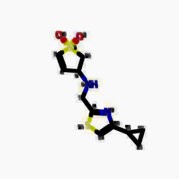 O=S1(=O)C=CC(NCc2nc(C3CC3)cs2)C1